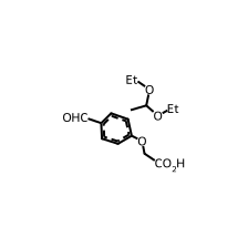 CCOC(C)OCC.O=Cc1ccc(OCC(=O)O)cc1